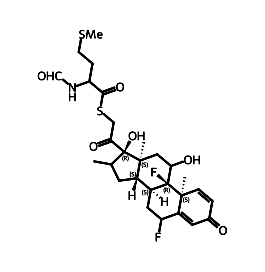 CSCCC(NC=O)C(=O)SCC(=O)[C@@]1(O)C(C)C[C@H]2[C@@H]3CC(F)C4=CC(=O)C=C[C@]4(C)[C@@]3(F)C(O)C[C@@]21C